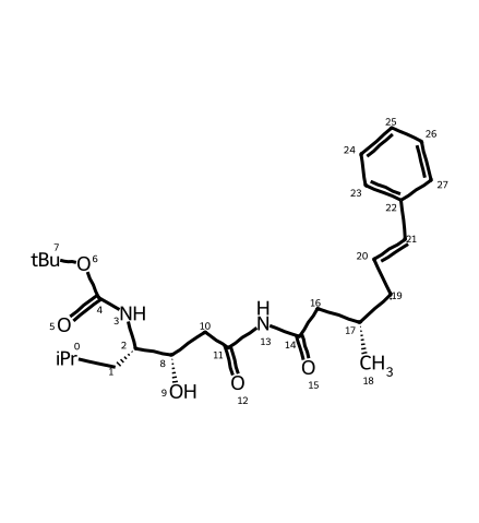 CC(C)C[C@H](NC(=O)OC(C)(C)C)[C@@H](O)CC(=O)NC(=O)C[C@@H](C)[CH]/C=C/c1ccccc1